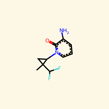 CC1(C(F)F)CC1n1cccc(N)c1=O